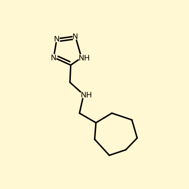 C1CCCC(CNCc2nnn[nH]2)CC1